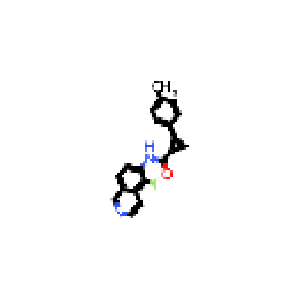 Cc1ccc(C2CC2C(=O)Nc2ccc3cnccc3c2F)cc1